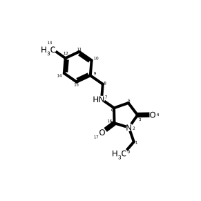 CCN1C(=O)CC(NCc2ccc(C)cc2)C1=O